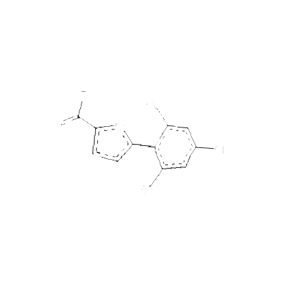 CCC(=O)c1ccc(-c2c(Cl)cc(Cl)cc2Cl)o1